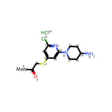 CNC(=O)CSc1cc(Cl)nc(N2CCC(N)CC2)c1.Cl